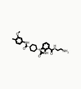 COc1cc(NC(=O)[C@H]2CC[C@@H](n3c(=O)[nH]c4c(C(=O)NCCN)cccc43)CC2)ccc1C